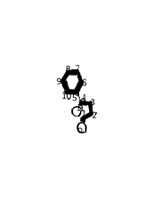 O=C1CC[C@@H](c2ccccc2)O1